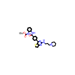 CC(C)(C)OC(=O)Nc1ccccc1NC(=O)c1ccc(-c2nc(NCCCN3CCCCC3)nc3ccsc23)cc1